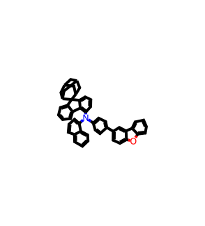 c1ccc2c(c1)-c1c(N(c3ccc(-c4ccc5oc6ccccc6c5c4)cc3)c3cccc4ccccc34)cccc1C21C2CC3CC(C2)CC1C3